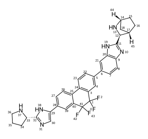 FC1(F)c2cc(-c3ccc4nc([C@H]5N[C@@H]6CC[C@H]5C6)[nH]c4c3)ccc2-c2ccc(-c3cnc([C@@H]4CCCN4)[nH]3)cc2C1(F)F